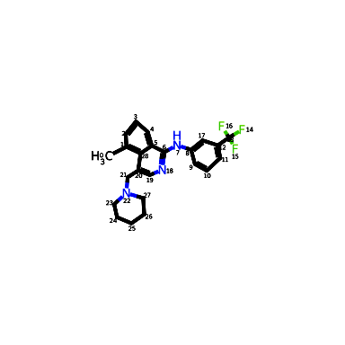 Cc1cccc2c(Nc3cccc(C(F)(F)F)c3)ncc(CN3CCCCC3)c12